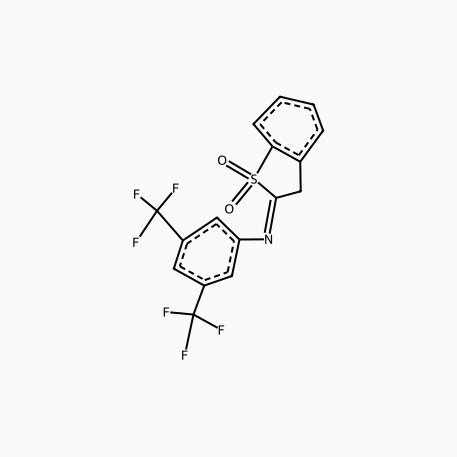 O=S1(=O)C(=Nc2cc(C(F)(F)F)cc(C(F)(F)F)c2)Cc2ccccc21